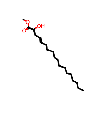 CCCCCCCCCCCCCC=CCC(O)C(=O)OC